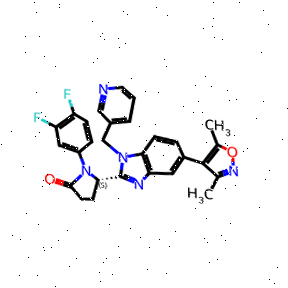 Cc1noc(C)c1-c1ccc2c(c1)nc([C@@H]1CCC(=O)N1c1ccc(F)c(F)c1)n2Cc1cccnc1